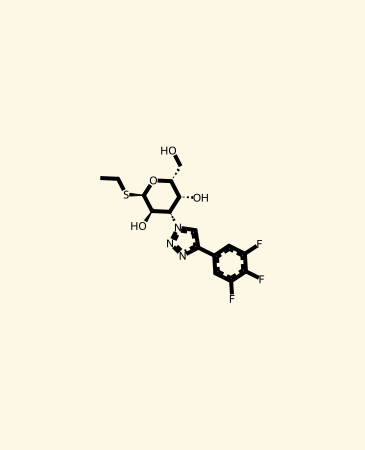 CCS[C@H]1O[C@H](CO)[C@H](O)[C@H](n2cc(-c3cc(F)c(F)c(F)c3)nn2)[C@H]1O